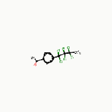 CC(C)C([O])c1ccc(C(Cl)(Cl)C(Cl)(Cl)C(Cl)(Cl)C(Cl)(Cl)Cl)cc1